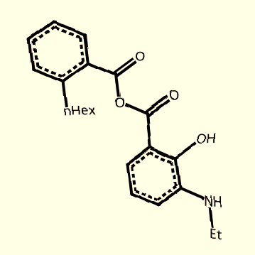 CCCCCCc1ccccc1C(=O)OC(=O)c1cccc(NCC)c1O